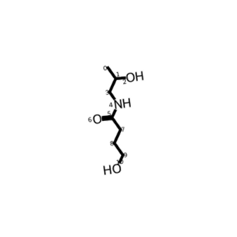 CC(O)CNC(=O)CCCO